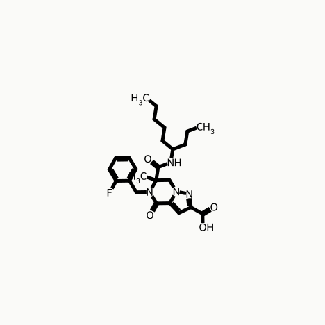 CCCCCC(CCC)NC(=O)C1(C)Cn2nc(C(=O)O)cc2C(=O)N1Cc1ccccc1F